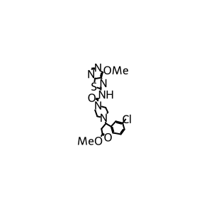 COC(=O)CC(c1cccc(Cl)c1)N1CCN(C(=O)Nc2nc3c(OC)ncnc3s2)CC1